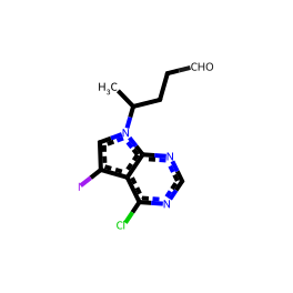 CC(CCC=O)n1cc(I)c2c(Cl)ncnc21